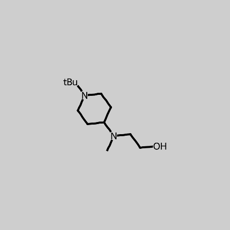 CN(CCO)C1CCN(C(C)(C)C)CC1